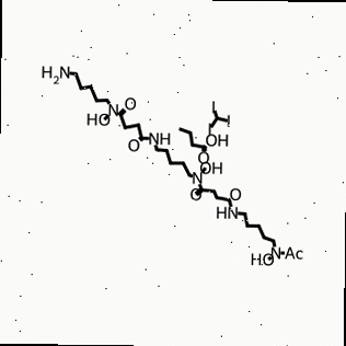 CC(=O)N(O)CCCCCNC(=O)CCC(=O)N(O)CCCCCNC(=O)CCC(=O)N(O)CCCCCN.CCCC(=O)O.IC(I)I